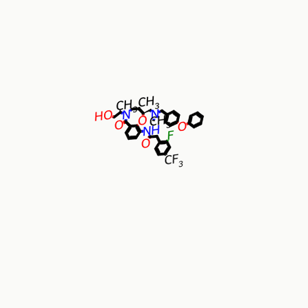 C[C@@H]1CN([C@@H](C)CO)C(=O)c2cccc(NC(=O)Cc3ccc(C(F)(F)F)cc3F)c2O[C@@H]1CN(C)Cc1ccc(Oc2ccccc2)cc1